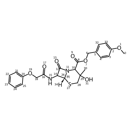 COc1ccc(COC(=O)C2N3C(=O)C(NC(=O)COc4ccccc4)[C@H]3SCC2(C)O)cc1